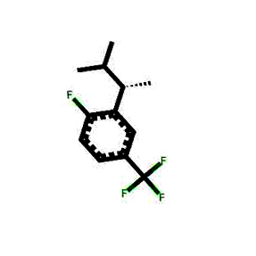 CC(C)[C@H](C)c1cc(C(F)(F)F)ccc1F